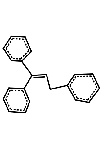 C(Cc1ccccc1)=C(c1ccccc1)c1ccccc1